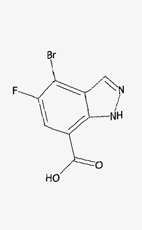 O=C(O)c1cc(F)c(Br)c2cn[nH]c12